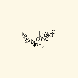 Cc1c(C(=O)Nc2ccc(-c3nc(-c4csc(N5CCN(C)CC5)n4)cnc3N)cc2)c(=O)n(-c2cccc(Cl)c2)n1C